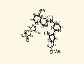 CO[C@H](C)Cn1cc(-c2nccc(Nc3cc4c(C(C)C)ccc(N5C[C@H](CS(C)(=O)=O)[C@H]5C)c4cn3)n2)c(Cl)n1